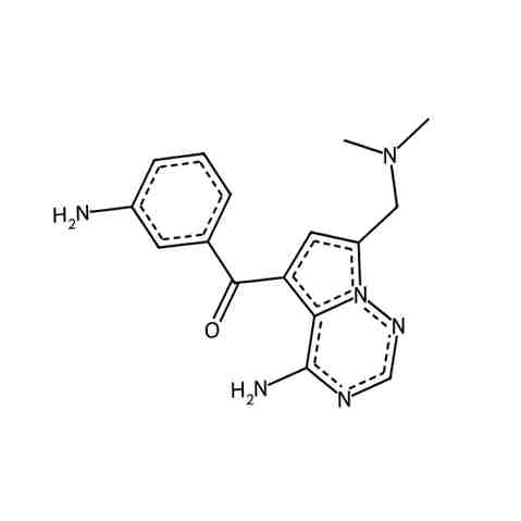 CN(C)Cc1cc(C(=O)c2cccc(N)c2)c2c(N)ncnn12